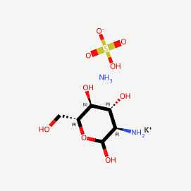 N.N[C@H]1C(O)O[C@H](CO)[C@@H](O)[C@@H]1O.O=S(=O)([O-])O.[K+]